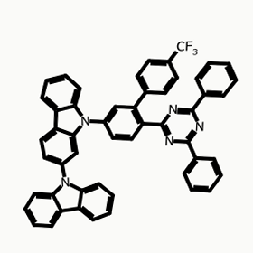 FC(F)(F)c1ccc(-c2cc(-n3c4ccccc4c4ccc(-n5c6ccccc6c6ccccc65)cc43)ccc2-c2nc(-c3ccccc3)nc(-c3ccccc3)n2)cc1